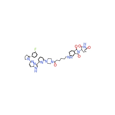 O=C1CCC(N2C(=O)c3ccc(NCCCCCC(=O)N4CCN(c5cccc(C6=CNC7C=CC(N8CCC[C@@H]8c8cccc(F)c8)=NN67)n5)CC4)cc3C2=O)C(=O)N1